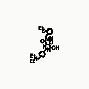 CCOc1ccccc1CNC(=O)c1nc(-c2ccc(CN(CC)CC)cc2)nc(O)c1O